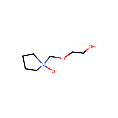 [O-][N+]1(COCCO)CCCC1